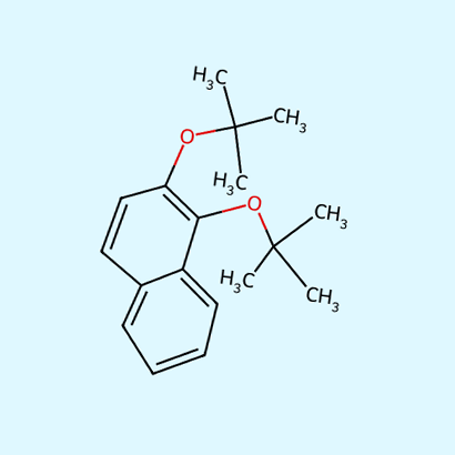 CC(C)(C)Oc1ccc2ccccc2c1OC(C)(C)C